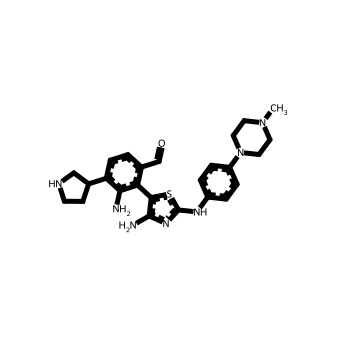 CN1CCN(c2ccc(Nc3nc(N)c(-c4c(C=O)ccc(C5CCNC5)c4N)s3)cc2)CC1